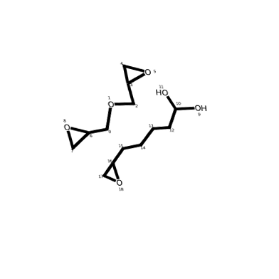 C(OCC1CO1)C1CO1.OC(O)CCCCC1CO1